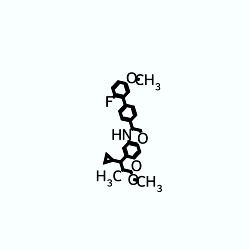 COC(=O)[C@@H](C)C(c1ccc2c(c1)NC(c1ccc(-c3cc(OC)ccc3F)cc1)CO2)C1CC1